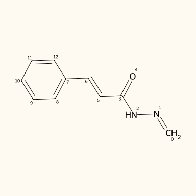 C=NNC(=O)/C=C/c1ccccc1